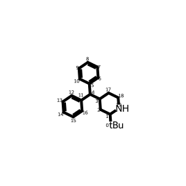 CC(C)(C)C1CC(C(c2ccccc2)c2ccccc2)CCN1